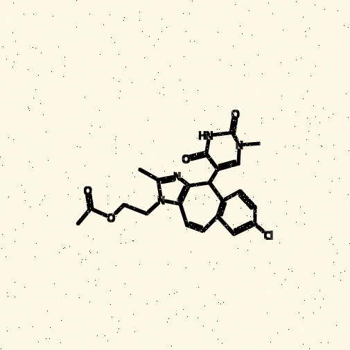 CC(=O)OCCn1c(C)nc2c1C=Cc1cc(Cl)ccc1C2c1cn(C)c(=O)[nH]c1=O